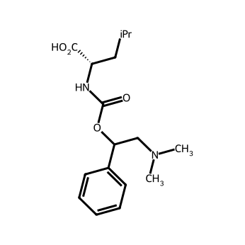 CC(C)C[C@H](NC(=O)OC(CN(C)C)c1ccccc1)C(=O)O